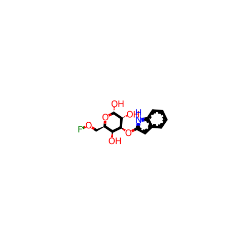 O[C@@H]1[C@@H](Oc2cc3ccccc3[nH]2)[C@@H](O)[C@@H](COF)O[C@@H]1O